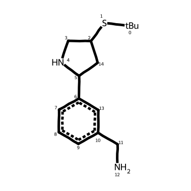 CC(C)(C)SC1CNC(c2cccc(CN)c2)C1